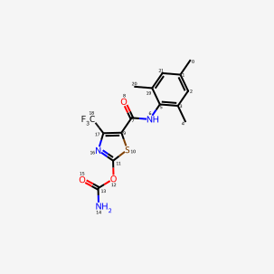 Cc1cc(C)c(NC(=O)c2sc(OC(N)=O)nc2C(F)(F)F)c(C)c1